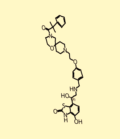 CC(C)(C(=O)N1CCOC2(CCN(CCOc3ccc(CNC[C@H](O)c4ccc(O)c5[nH]c(=O)sc45)cc3)CC2)C1)c1ccccc1